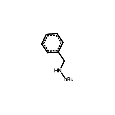 C[CH]CCNCc1ccccc1